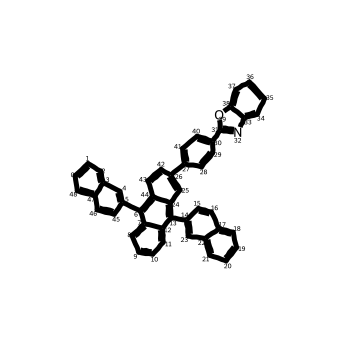 c1ccc2cc(-c3c4ccccc4c(-c4ccc5ccccc5c4)c4cc(-c5ccc(-c6nc7ccccc7o6)cc5)ccc34)ccc2c1